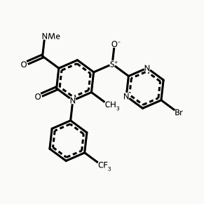 CNC(=O)c1cc([S+]([O-])c2ncc(Br)cn2)c(C)n(-c2cccc(C(F)(F)F)c2)c1=O